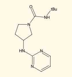 CC(C)(C)NC(=O)N1CCC(Nc2ncccn2)C1